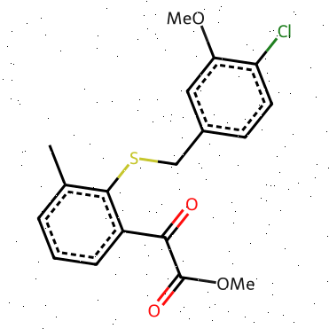 COC(=O)C(=O)c1cccc(C)c1SCc1ccc(Cl)c(OC)c1